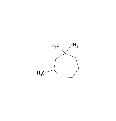 CC1CCCCC(C)(C)C1